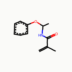 C=C(C)C(=O)NC(C)Oc1ccccc1